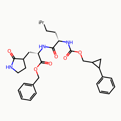 CC(C)CC[C@H](NC(=O)OCC1CC1c1ccccc1)C(=O)N[C@@H](CC1CCNC1=O)C(=O)OCc1ccccc1